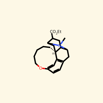 CCOC(=O)C1CC2C3Cc4ccc5cc4[C@@]2(CCCCCO5)CC1N3C